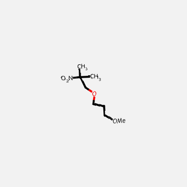 COCCCOCC(C)(C)[N+](=O)[O-]